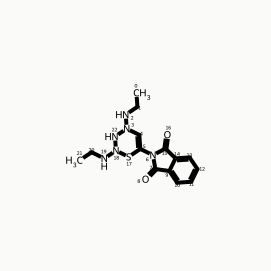 CCNn1cc(N2C(=O)c3ccccc3C2=O)sn(NCC)[nH]1